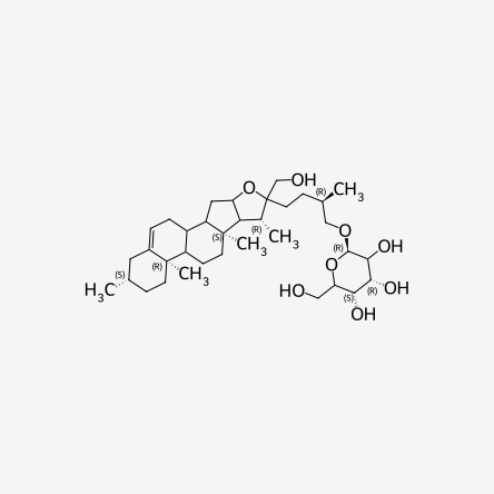 C[C@H](CCC1(CO)OC2CC3C4CC=C5C[C@@H](C)CC[C@]5(C)C4CC[C@]3(C)C2[C@H]1C)CO[C@@H]1OC(CO)[C@@H](O)[C@@H](O)C1O